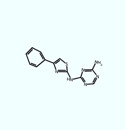 Nc1ncnc(Nc2nc(-c3ccccc3)cs2)n1